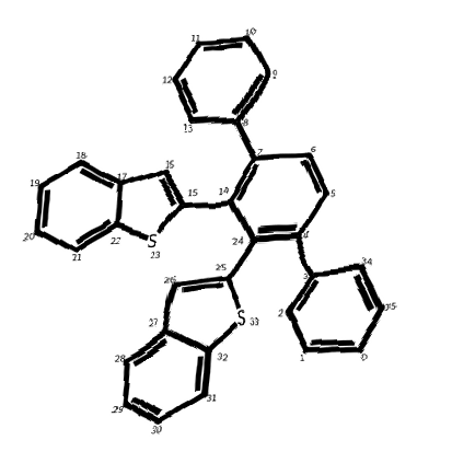 c1ccc(-c2ccc(-c3ccccc3)c(-c3cc4ccccc4s3)c2-c2cc3ccccc3s2)cc1